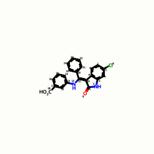 O=C1Nc2cc(Cl)ccc2C1=C(Nc1cccc(C(=O)O)c1)c1ccccc1